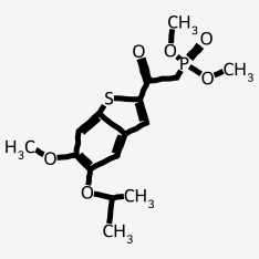 COc1cc2sc(C(=O)CP(=O)(OC)OC)cc2cc1OC(C)C